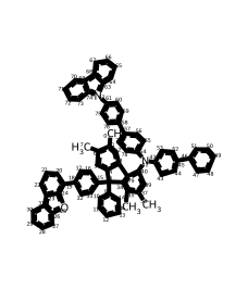 Cc1cc2c(cc1C)C(c1ccccc1)(c1ccc(-c3cccc4c3oc3ccccc34)cc1)c1c(C)c(C)cc(N(c3ccc(-c4ccccc4)cc3)c3ccc(-c4ccc(-n5c6ccccc6c6ccccc65)cc4)cc3)c1-2